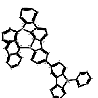 c1ccc(-n2c3ccccc3c3cc(-c4ccc5c(c4)c4ccc6c7ccccc7n(-c7ccccc7)c6c4n5-c4cccc5ccccc45)ccc32)cc1